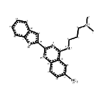 CN(C)CCCNc1nc(-c2cc3ccccc3o2)nc2ccc([N+](=O)[O-])cc12